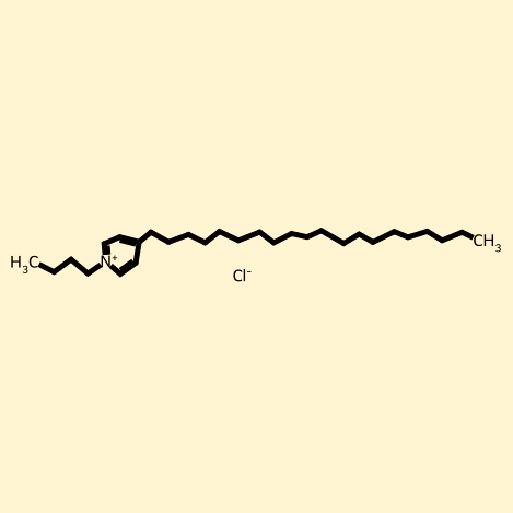 CCCCCCCCCCCCCCCCCCCCc1cc[n+](CCCC)cc1.[Cl-]